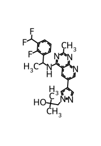 Cc1nc(NC(C)c2cccc(C(F)F)c2F)c2cc(-c3cnn(CC(C)(C)O)c3)cnc2n1